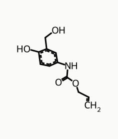 C=CCOC(=O)Nc1ccc(O)c(CO)c1